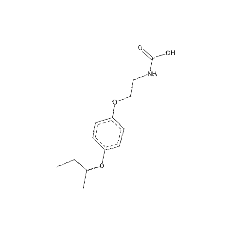 CCC(C)Oc1ccc(OCCNC(=O)O)cc1